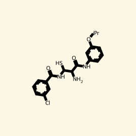 CC(C)Oc1cccc(NC(=O)C(N)C(S)NC(=O)c2cccc(Cl)c2)c1